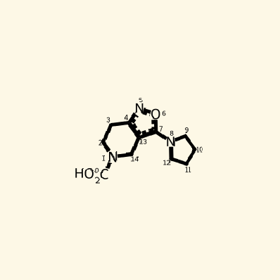 O=C(O)N1CCc2noc(N3CCCC3)c2C1